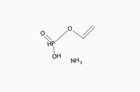 C=CO[PH](=O)O.N